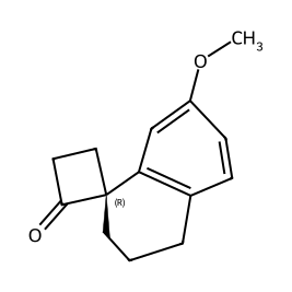 COc1ccc2c(c1)[C@@]1(CCC2)CCC1=O